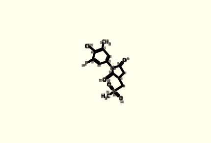 Cc1cc(N2C(=O)CC(CS(C)(=O)=O)C2=O)cc(F)c1Cl